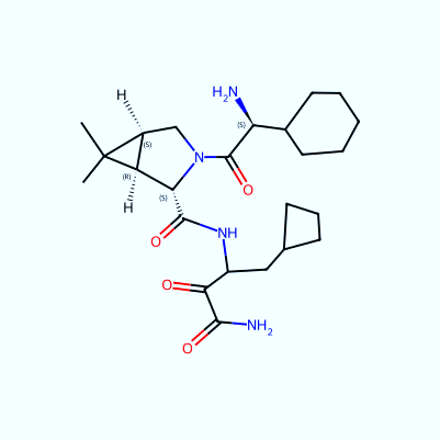 CC1(C)[C@@H]2[C@@H](C(=O)NC(CC3CCC3)C(=O)C(N)=O)N(C(=O)[C@@H](N)C3CCCCC3)C[C@@H]21